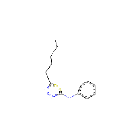 CCCCCc1nnc(Nc2ccccc2)s1